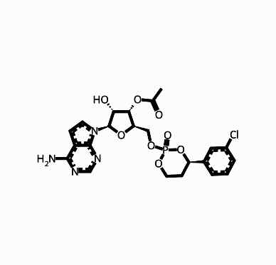 CC(=O)O[C@H]1[C@@H](O)[C@H](n2ccc3c(N)ncnc32)O[C@@H]1COP1(=O)OCC[C@H](c2cccc(Cl)c2)O1